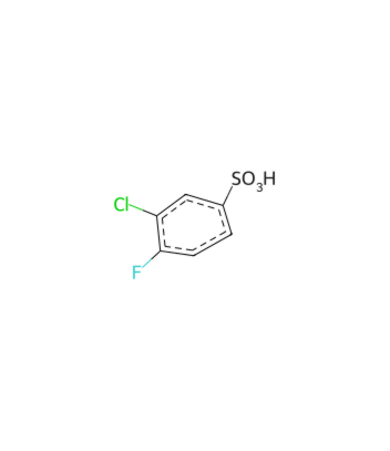 O=S(=O)(O)c1ccc(F)c(Cl)c1